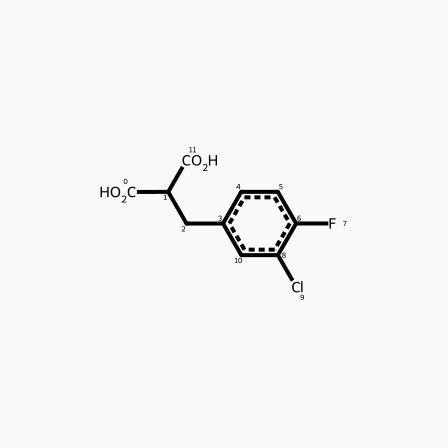 O=C(O)C(Cc1ccc(F)c(Cl)c1)C(=O)O